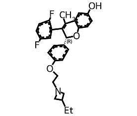 CCC1CN(CCOc2ccc([C@H]3Oc4ccc(O)cc4C(C)=C3c3cc(F)ccc3F)cc2)C1